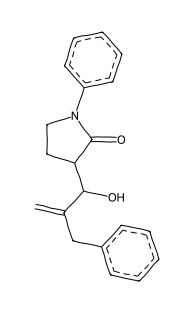 C=C(Cc1ccccc1)C(O)C1CCN(c2ccccc2)C1=O